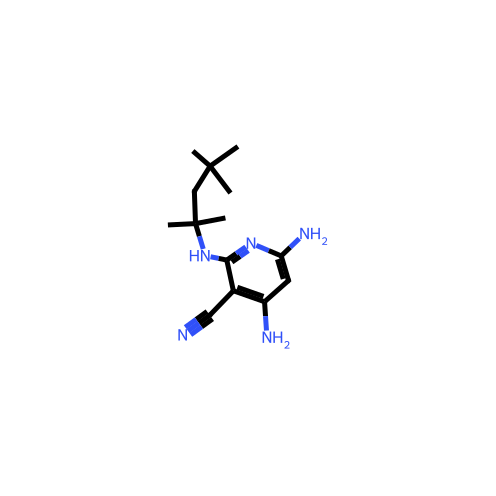 CC(C)(C)CC(C)(C)Nc1nc(N)cc(N)c1C#N